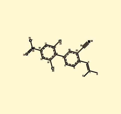 CC(C)=Cc1ccc(-c2c(Cl)cc([N+](=O)[O-])cc2Cl)cc1C#N